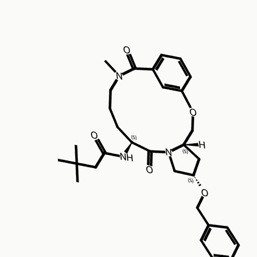 CN1CCC[C@H](NC(=O)CC(C)(C)C)C(=O)N2C[C@@H](OCc3ccccc3)C[C@H]2COc2cccc(c2)C1=O